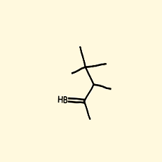 B=C(C)C(C)C(C)(C)C